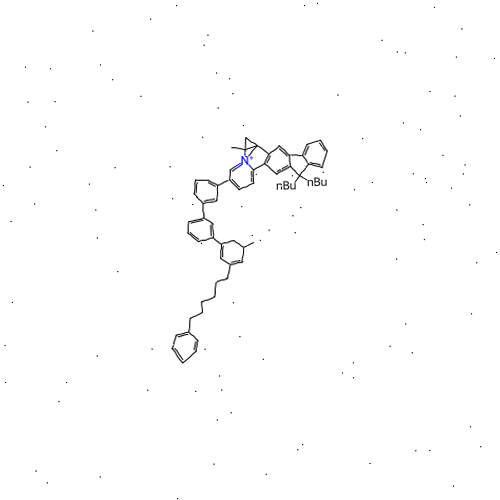 CCCCC1(CCCC)c2ccccc2-c2cc3c(cc21)-c1ccc(-c2cccc(-c4cccc(C5=CC(CCCCCCc6ccccc6)=CC(C)C5)c4)c2)c[n+]1C1(C)CC31C